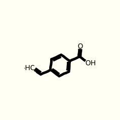 [CH]=Cc1ccc(C(=O)O)cc1